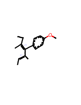 C/C=C(C)/C(=C(\C)CC)c1ccc(OC)cc1